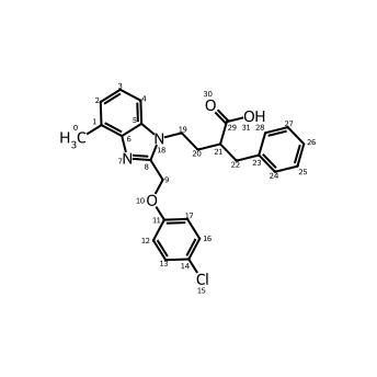 Cc1cccc2c1nc(COc1ccc(Cl)cc1)n2CCC(Cc1ccccc1)C(=O)O